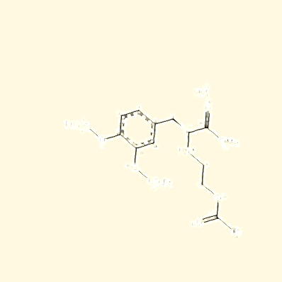 CCOC(=O)Oc1ccc(C[C@H](NCCOC(=O)C(C)C)C(=O)OC)cc1OC(=O)OCC.Cl